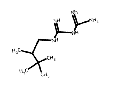 CC(CNC(=N)NC(=N)N)C(C)(C)C